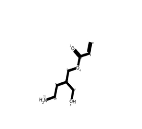 C=CC(=O)OCC(CO)CCN